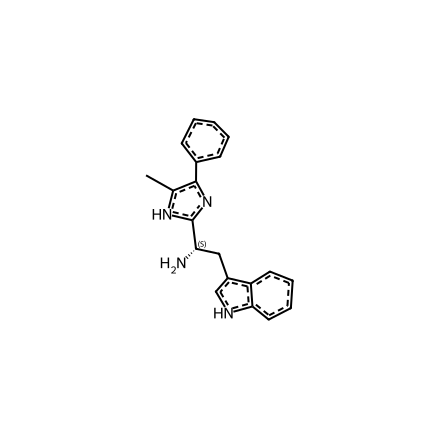 Cc1[nH]c([C@@H](N)Cc2c[nH]c3ccccc23)nc1-c1ccccc1